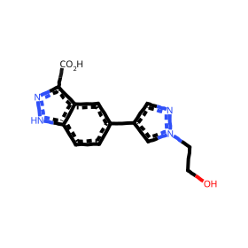 O=C(O)c1n[nH]c2ccc(-c3cnn(CCO)c3)cc12